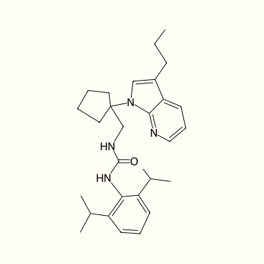 CCCc1cn(C2(CNC(=O)Nc3c(C(C)C)cccc3C(C)C)CCCC2)c2ncccc12